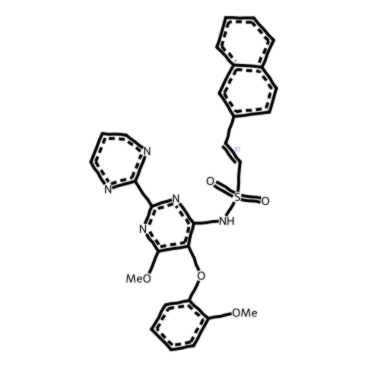 COc1ccccc1Oc1c(NS(=O)(=O)/C=C/c2ccc3ccccc3c2)nc(-c2ncccn2)nc1OC